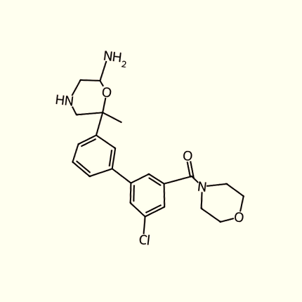 CC1(c2cccc(-c3cc(Cl)cc(C(=O)N4CCOCC4)c3)c2)CNCC(N)O1